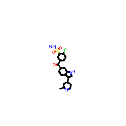 Cc1cc(-c2c[nH]c3cc(C(=O)c4ccc(Cl)c(S(N)(=O)=O)c4)ccc23)ccn1